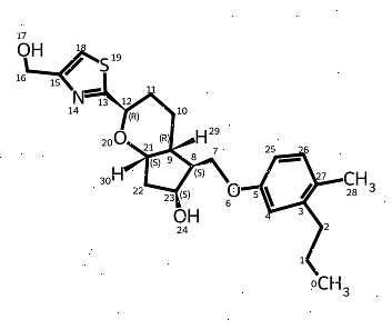 CCCc1cc(OC[C@@H]2[C@H]3CC[C@H](c4nc(CO)cs4)O[C@H]3C[C@@H]2O)ccc1C